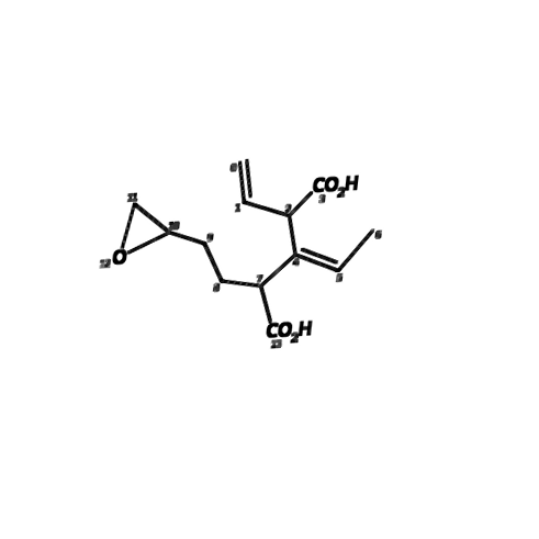 C=CC(C(=O)O)C(=CC)C(CCC1CO1)C(=O)O